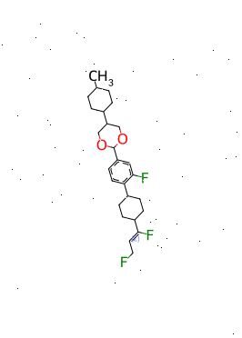 CC1CCC(C2COC(c3ccc(C4CCC(/C(F)=C/CF)CC4)c(F)c3)OC2)CC1